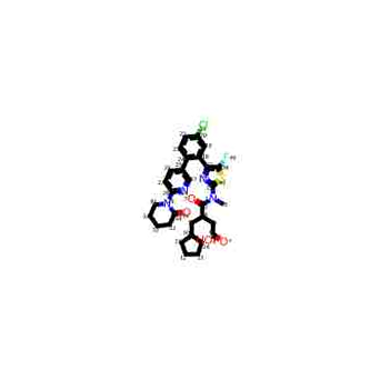 CN(C(=O)C(CC(=O)O)CC1CCCC1)c1nc(-c2cc(Cl)ccc2-c2ccc(N3CCCCC3=O)nc2)c(F)s1